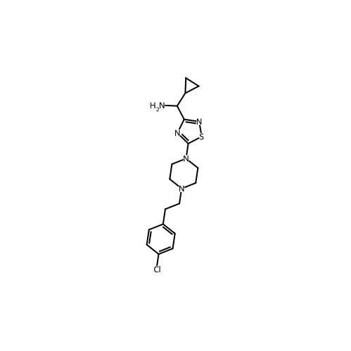 NC(c1nsc(N2CCN(CCc3ccc(Cl)cc3)CC2)n1)C1CC1